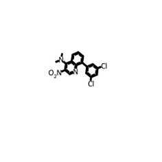 CN(C)c1c([N+](=O)[O-])cnc2c(-c3cc(Cl)cc(Cl)c3)cccc12